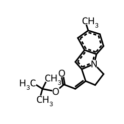 Cc1ccc2c(c1)cc1n2CC/C1=C/C(=O)OC(C)(C)C